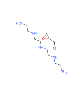 ClCC1CO1.NCCNCCNCCNCCN